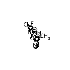 COc1cc(Cn2cccn2)cc2onc(NS(=O)(=O)c3cc(F)c(Cl)cc3F)c12